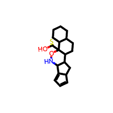 OC(=S)C12ONC3C4=CC=CC4CC3C1CCC1CCCCC12